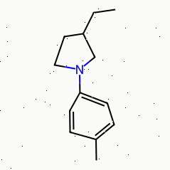 CCC1CCN(c2ccc(C)cc2)C1